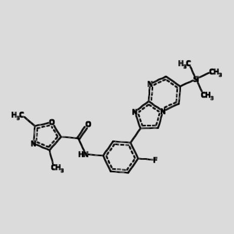 Cc1nc(C)c(C(=O)Nc2ccc(F)c(-c3cn4cc([Si](C)(C)C)cnc4n3)c2)o1